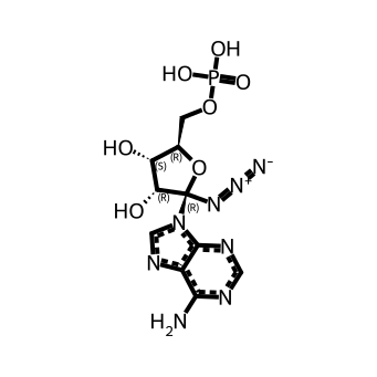 [N-]=[N+]=N[C@@]1(n2cnc3c(N)ncnc32)O[C@H](COP(=O)(O)O)[C@@H](O)[C@H]1O